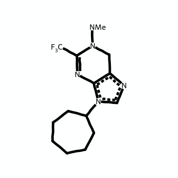 CNN1Cc2ncn(C3CCCCCC3)c2N=C1C(F)(F)F